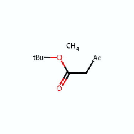 C.CC(=O)CC(=O)OC(C)(C)C